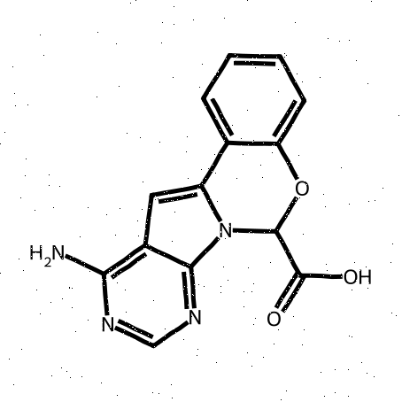 Nc1ncnc2c1cc1n2C(C(=O)O)Oc2ccccc2-1